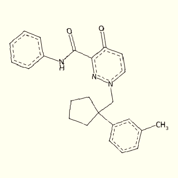 Cc1cccc(C2(Cn3ccc(=O)c(C(=O)Nc4ccccc4)n3)CCCC2)c1